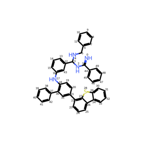 N=C(NC(NCc1ccccc1)c1cccc(Nc2ccc(-c3cccc4c3sc3ccccc34)cc2-c2ccccc2)c1)c1ccccc1